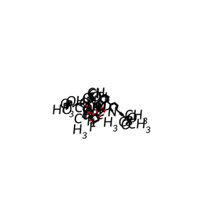 C[C@H]1CC(F)(F)c2c1c(C(F)(F)F)cn2CC(=O)N[C@@H](Cc1cc(F)cc(F)c1)c1nc(C#CC(C)(C)S(C)(=O)=O)ccc1-c1ccc(Cl)c2c(N(C(=O)OCCCP(=O)(O)O)S(C)(=O)=O)nn(CC(F)(F)F)c12